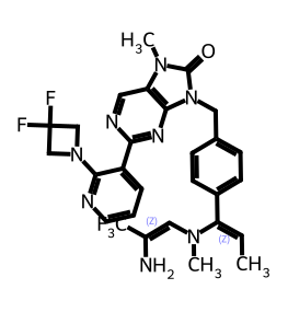 C/C=C(/c1ccc(Cn2c(=O)n(C)c3cnc(-c4cccnc4N4CC(F)(F)C4)nc32)cc1)N(C)/C=C(\N)C(F)(F)F